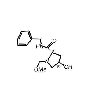 COCN1C[C@H](O)C[C@H]1C(=O)NCc1ccccc1